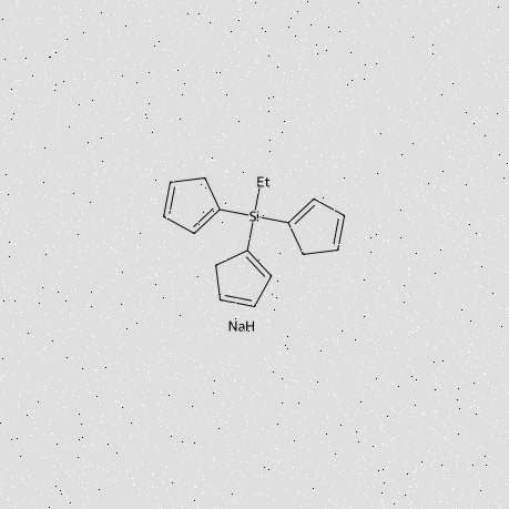 CC[Si](C1=CC=CC1)(C1=CC=CC1)C1=CC=CC1.[NaH]